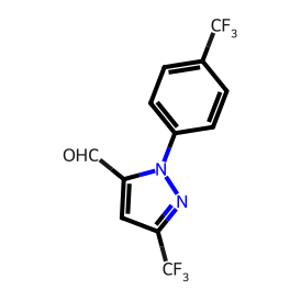 O=Cc1cc(C(F)(F)F)nn1-c1ccc(C(F)(F)F)cc1